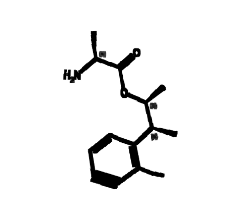 Cc1c#cccc1[C@H](C)[C@H](C)OC(=O)[C@H](C)N